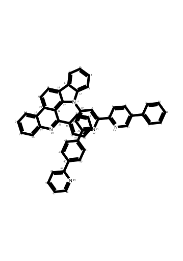 c1ccc(-c2ccc(-c3cc(-n4c5ccccc5c5ccc6c7ccccc7nc(-c7ccccc7)c6c54)cc(-c4ccc(-c5ccccn5)cc4)n3)nc2)cc1